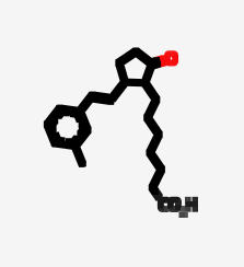 Cc1cccc(C=CC2CCC(=O)C2CCCCCCC(=O)O)c1